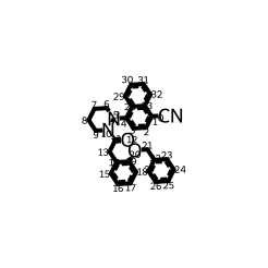 N#Cc1ccc(N2CCCCN2C(=O)Cc2ccccc2OCc2ccccc2)c2ccccc12